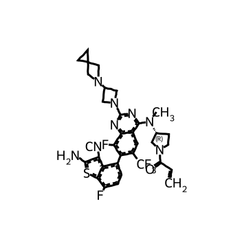 C=CC(=O)N1CC[C@@H](N(C)c2nc(N3CC(N4CC5(CC5)C4)C3)nc3c(F)c(-c4ccc(F)c5sc(N)c(C#N)c45)c(C(F)(F)F)cc23)C1